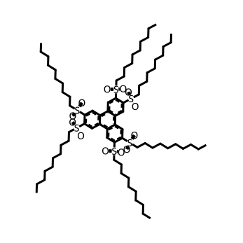 CCCCCCCCCCS(=O)(=O)c1cc2c3cc(S(=O)(=O)CCCCCCCCCC)c(S(=O)(=O)CCCCCCCCCC)cc3c3cc(S(=O)(=O)CCCCCCCCCC)c(S(=O)(=O)CCCCCCCCCC)cc3c2cc1S(=O)(=O)CCCCCCCCCC